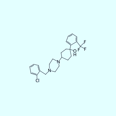 OC1(c2ccccc2C(F)(F)F)CCC(N2CCN(Cc3ccccc3Cl)CC2)CC1